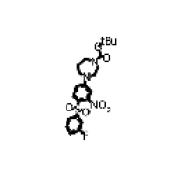 CC(C)(C)OC(=O)N1CCCN(c2ccc(S(=O)(=O)c3cccc(F)c3)c([N+](=O)[O-])c2)CC1